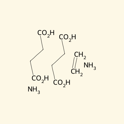 C=C.N.N.O=C(O)CCC(=O)O.O=C(O)CCC(=O)O